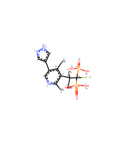 CC(C)c1ncc(-c2cn[nH]c2)c(C(C)C)c1C(C(C)C)(C(C)C)C(F)(P(=O)(O)O)P(=O)(O)O